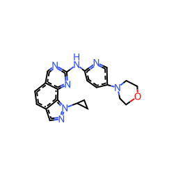 c1cc(Nc2ncc3ccc4cnn(C5CC5)c4c3n2)ncc1N1CCOCC1